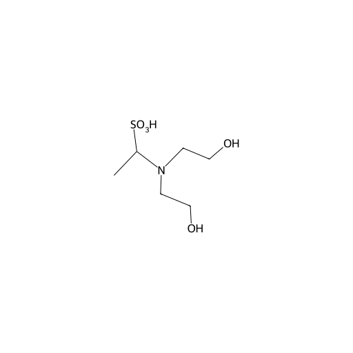 CC(N(CCO)CCO)S(=O)(=O)O